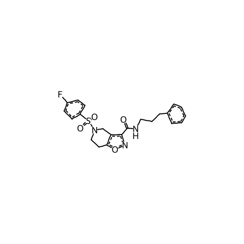 O=C(NCCCc1ccccc1)c1noc2c1CN(S(=O)(=O)c1ccc(F)cc1)CC2